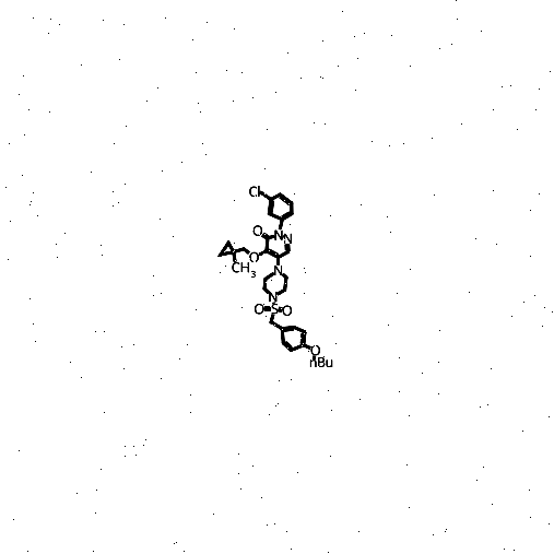 CCCCOc1ccc(CS(=O)(=O)N2CCN(c3cnn(-c4cccc(Cl)c4)c(=O)c3OCC3(C)CC3)CC2)cc1